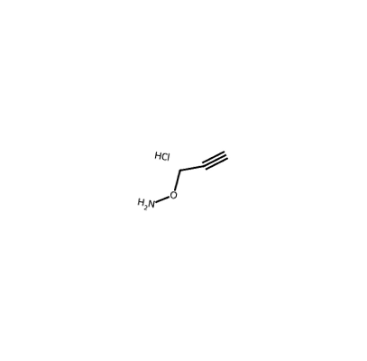 C#CCON.Cl